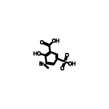 CBr.O=C(O)c1cc(S(=O)(=O)O)ccc1O